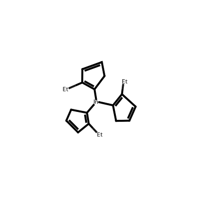 CCC1=[C]([In]([C]2=C(CC)C=CC2)[C]2=C(CC)C=CC2)CC=C1